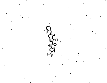 Cc1c(C(=O)Nc2nnc(C(F)F)s2)nn2c1C(=O)N(Cc1ccccc1F)CC2